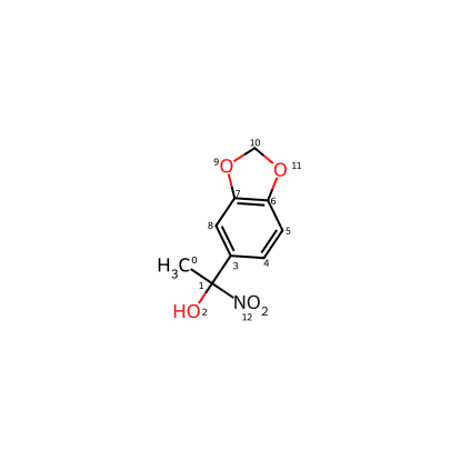 CC(O)(c1ccc2c(c1)OCO2)[N+](=O)[O-]